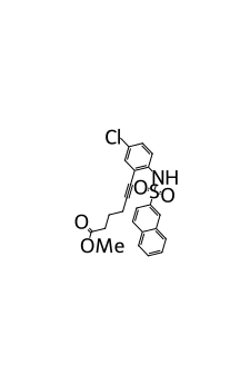 COC(=O)CCCC#Cc1cc(Cl)ccc1NS(=O)(=O)c1ccc2ccccc2c1